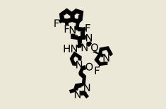 Cc1cc(/C=C/C(=O)N2CC[C@@H](Nc3nc(OC[C@@]45CCCN4C[C@H](F)C5)nc4c(F)c(-c5cccc6ccc(F)c(F)c56)ncc34)C2)nc(C)n1